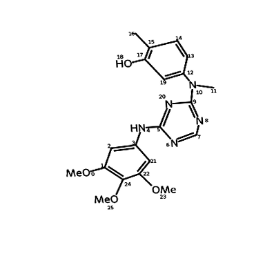 COc1cc(Nc2ncnc(N(C)c3ccc(C)c(O)c3)n2)cc(OC)c1OC